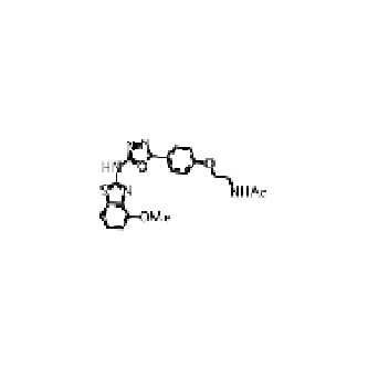 COc1cccc2sc(Nc3nnc(-c4ccc(OCCNC(C)=O)cc4)o3)nc12